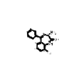 N[C@@H]1N=C(c2ccccc2)c2cccc(F)c2NC1=O